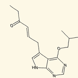 CCC(=O)C=CCc1c[nH]c2ncnc(OCC(C)C)c12